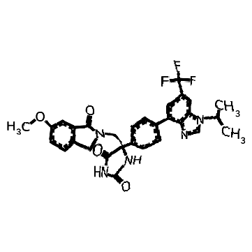 COc1ccc2c(c1)C(=O)N(C[C@@]1(c3ccc(-c4cc(C(F)(F)F)cc5c4ncn5C(C)C)cc3)NC(=O)NC1=O)C2